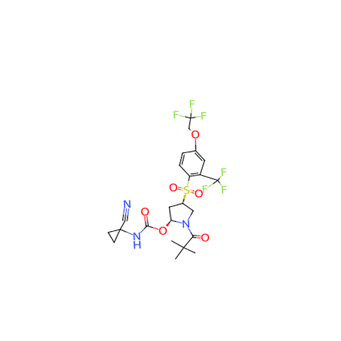 CC(C)(C)C(=O)N1C[C@H](S(=O)(=O)c2ccc(OCC(F)(F)F)cc2C(F)(F)F)C[C@@H]1OC(=O)NC1(C#N)CC1